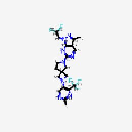 Cc1ncc(N2CC3(CCN(c4ncc5c(C)nn(CC(F)F)c5n4)C3)C2)c(C(F)(F)F)n1